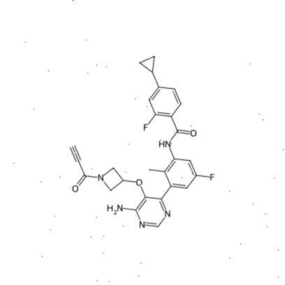 C#CC(=O)N1CC(Oc2c(N)ncnc2-c2cc(F)cc(NC(=O)c3ccc(C4CC4)cc3F)c2C)C1